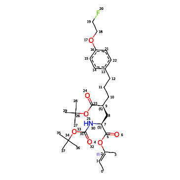 C/C=C(\C)OC(=O)[C@H](C[C@H](CCCc1ccc(OCCF)cc1)C(=O)OC(C)(C)C)NC(=O)OC(C)(C)C